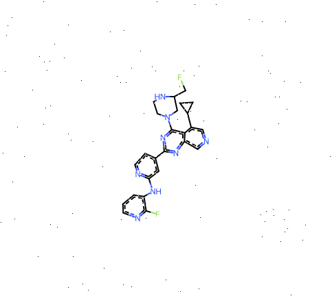 FCC1CN(c2nc(-c3ccnc(Nc4cccnc4F)c3)nc3cncc(C4CC4)c23)CCN1